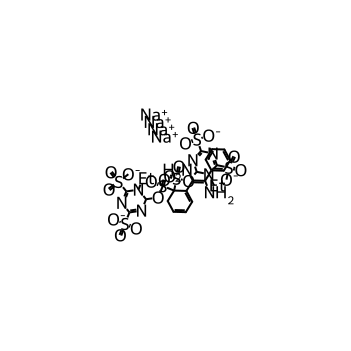 CCN1C(S(=O)(=O)[O-])=NC(S(=O)(=O)[O-])=NC1OS(=O)(=O)C1(S(=O)(=O)OC2N=C(S(=O)(=O)[O-])N=C(S(=O)(=O)[O-])N2CC)CC=CC=C1C(N)=C(N)c1ccccc1.[Na+].[Na+].[Na+].[Na+]